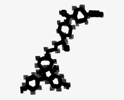 COc1ccc(C(=O)N2CCN(C(=O)CCCN3CC[C@@H]4[C@@H](C3)c3cc(F)ccc3N4c3ccc(F)cc3)CC2)cc1